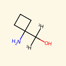 [2H]C([2H])(O)C1(N)CCC1